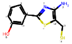 Nc1nc(-c2cccc(O)c2)sc1CS